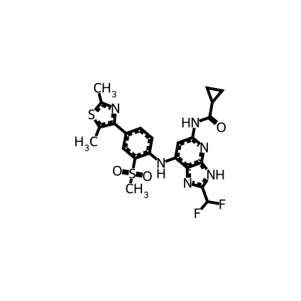 Cc1nc(-c2ccc(Nc3cc(NC(=O)C4CC4)nc4[nH]c(C(F)F)nc34)c(S(C)(=O)=O)c2)c(C)s1